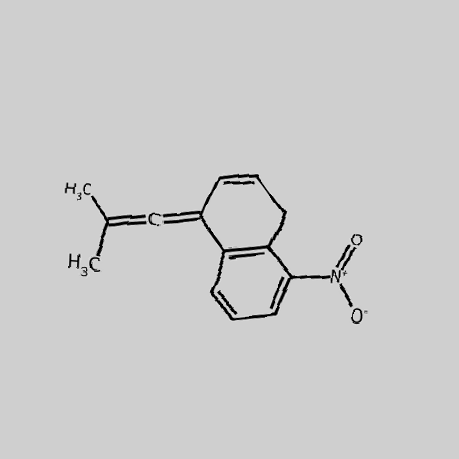 CC(C)=C=C1C=CCc2c1cccc2[N+](=O)[O-]